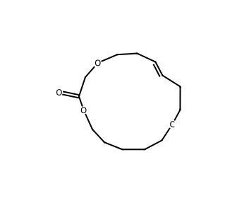 O=C1COCC/C=C/CCCCCCCCO1